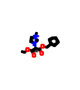 CCOC(=O)[C@H](C(=O)OCc1ccccc1)n1cc[n+](C)c1